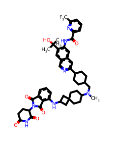 CN(CC1CCC(c2cc3cc(NC(=O)c4cccc(C(F)(F)F)n4)c(C(C)(C)O)cc3cn2)CC1)C1CCC2(CC1)CC(Nc1cccc3c1C(=O)N(C1CCC(=O)NC1=O)C3=O)C2